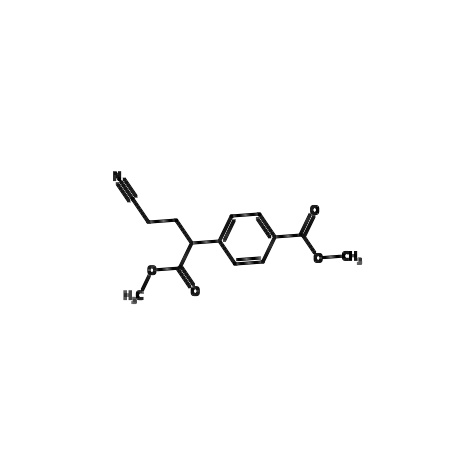 COC(=O)c1ccc(C(CCC#N)C(=O)OC)cc1